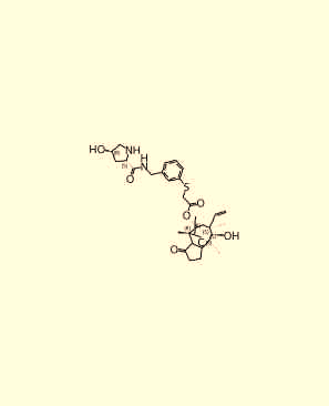 C=C[C@]1(C)C[C@@H](OC(=O)CSc2cccc(CNC(=O)[C@@H]3C[C@@H](O)CN3)c2)[C@]2(C)C(C)CCC3(CCC(=O)C32)[C@@H](C)[C@@H]1O